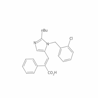 CCCCc1ncc(/C=C(/C(=O)O)c2ccccc2)n1Cc1ccccc1Cl